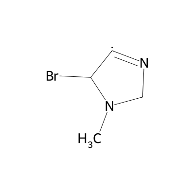 CN1CN=[C]C1Br